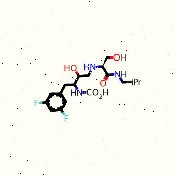 CC(C)CNC(=O)[C@H](CO)NCC(O)C(Cc1cc(F)cc(F)c1)NC(=O)O